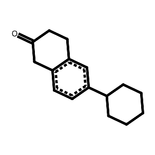 O=C1CCc2cc(C3CCCCC3)ccc2C1